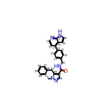 Cn1ncc(C(=O)NCc2ccc(-c3ccnc4[nH]ccc34)cc2)c1Cc1ccccc1